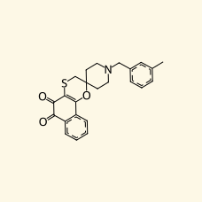 Cc1cccc(CN2CCC3(CC2)CSC2=C(O3)c3ccccc3C(=O)C2=O)c1